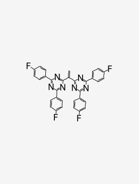 C=C(c1nc(-c2ccc(F)cc2)nc(-c2ccc(F)cc2)n1)c1nc(-c2ccc(F)cc2)nc(-c2ccc(F)cc2)n1